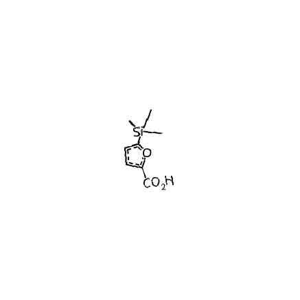 C[Si](C)(C)c1ccc(C(=O)O)o1